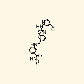 CONC(=O)c1cccc(NCc2ccc3nc(Nc4cc(CCl)ccn4)sc3n2)c1